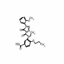 CCCOc1ccc(C(=O)O)cc1N(CC)C(=O)n1nnn(-c2ccccc2OC)c1=O